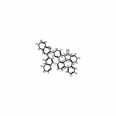 C1=Cc2ccc(-c3nc4c(nc3C3C=CC(C5NC6=CCCC7=C6N5c5ccccc5-c5ccccc57)=CC3)C=CCC4)cc2CC1